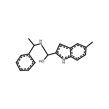 Cc1ccc2[nH]c(C(O)NC(C)c3ccccc3)cc2c1